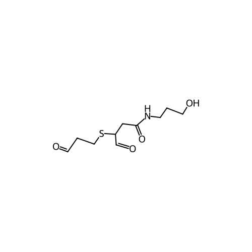 O=CCCSC(C=O)CC(=O)NCCCO